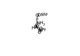 COC(=O)CCc1ccc(C#Cc2ccc(S(=O)(=O)NC3CCC(C(=O)N4CCOC[C@@H]4C(C)C)CC3)cc2N)cc1